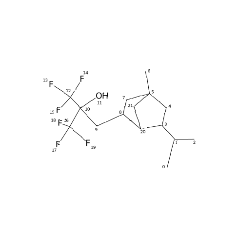 CC(C)C1CC2(C)CC(CC(O)(C(F)(F)F)C(F)(F)F)C1C2